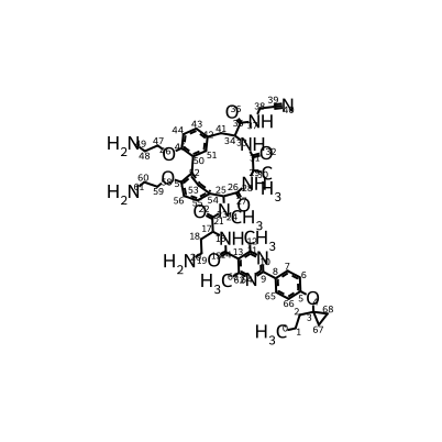 CCCC1(Oc2ccc(-c3nc(C)c(C(=O)NC(CCN)C(=O)N(C)C4C(=O)NC(C)C(=O)NC(C(=O)NCC#N)Cc5ccc(OCCN)c(c5)-c5cc4ccc5OCCN)c(C)n3)cc2)CC1